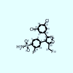 NS(=O)(=O)c1ccc(-c2c(-c3cc(Cl)cc(Cl)c3)noc2CF)cc1F